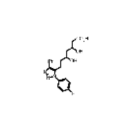 CC(C)c1nnn(-c2ccc(F)cc2)c1CCC(O)CC(O)CC(=O)O